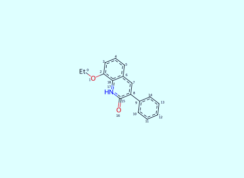 CCOc1cccc2cc(-c3cc[c]cc3)c(=O)[nH]c12